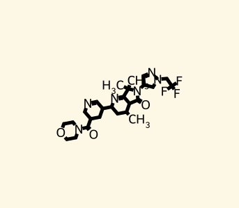 CC1CC(C2C=NCC(C(=O)N3CCOCC3)C2)N=C2C1C(=O)N(C1C=NN(CC(F)(F)F)C1)C2(C)C